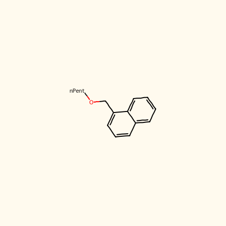 [CH2]CCCCOCc1cccc2ccccc12